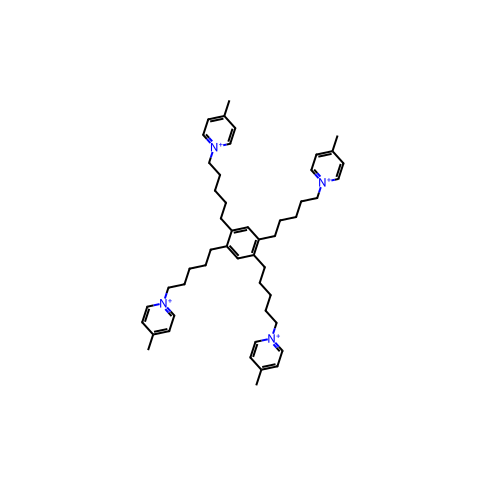 Cc1cc[n+](CCCCCc2cc(CCCCC[n+]3ccc(C)cc3)c(CCCCC[n+]3ccc(C)cc3)cc2CCCCC[n+]2ccc(C)cc2)cc1